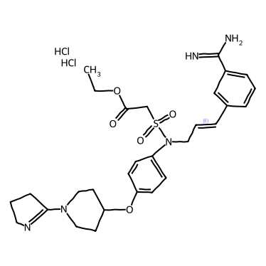 CCOC(=O)CS(=O)(=O)N(C/C=C/c1cccc(C(=N)N)c1)c1ccc(OC2CCN(C3=NCCC3)CC2)cc1.Cl.Cl